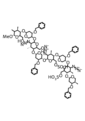 CO[C@H]1OC(CO)[C@@H](O[C@H]2C[C@H](OCc3ccccc3)C(OC3OC(CO)[C@@H](O[C@H]4C[C@H](OCc5ccccc5)[C@@H](O[C@@H]5OC(COS(=O)(=O)O)[C@@H](O[C@H]6C[C@H](OCc7ccccc7)[C@H](OC7OC(COS(=O)(=O)O)[C@@H](O[C@H]8C[C@H](OCc9ccccc9)[C@H](C)CO8)[C@H](C)C7N=[N+]=[N-])CO6)[C@H](C)C5N=[N+]=[N-])CO4)[C@H](C)C3N=[N+]=[N-])CO2)[C@H](C)C1C